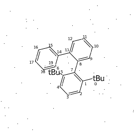 CC(C)(C)c1cccc(C(C)(C)C)c1-c1ccccc1-c1ccccc1